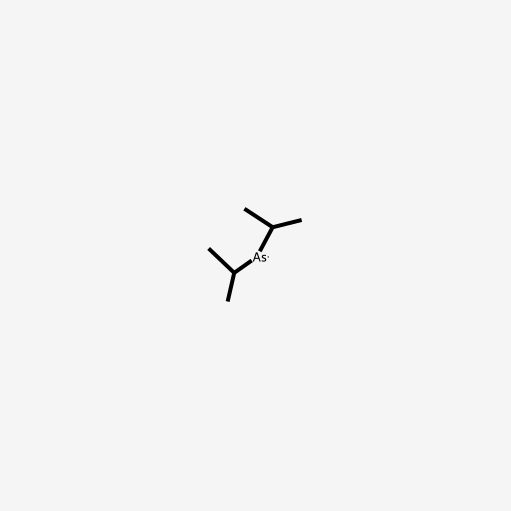 CC(C)[As]C(C)C